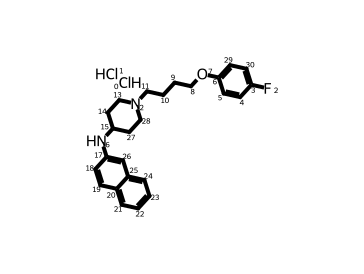 Cl.Cl.Fc1ccc(OCCCCN2CCC(Nc3ccc4ccccc4c3)CC2)cc1